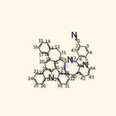 N#Cc1cccc(/C2=N/C(C3CCc4ccccc4-c4cc5c6ccccc6n6c7ccccc7c(c43)c56)=C\CCc3cccnc32)c1